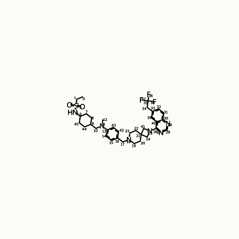 CCS(=O)(=O)NC1CCC(CN(C)c2ccc(CN3CCC4(CC3)CN(c3ncnc5ccc(CC(F)(F)F)cc35)C4)cc2)CC1